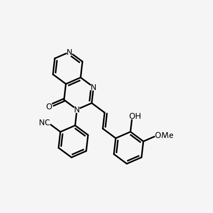 COc1cccc(/C=C/c2nc3cnccc3c(=O)n2-c2ccccc2C#N)c1O